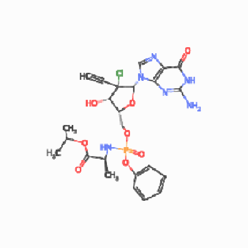 C#CC1(Cl)[C@@H](O)[C@@H](COP(=O)(N[C@@H](C)C(=O)OC(C)C)Oc2ccccc2)O[C@H]1n1cnc2c(=O)[nH]c(N)nc21